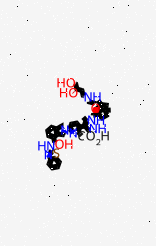 C/C(NCC12CCC3(C)CC(C)(C1)C32OCCNCC[C@H](O)CO)=C(/C=N)c1ccc(N2Cc3cccc(C(O)Nc4nc5ccccc5s4)c3C2)nc1C(=O)O